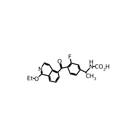 CCOc1nccc2c(C(=O)c3ccc(C(C)NC(=O)O)cc3F)cccc12